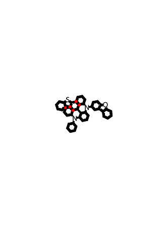 c1ccc(N(c2ccccc2)c2cccc(N(c3ccccc3)c3ccc4oc5ccccc5c4c3)c2-c2ccc3sc4ccccc4c3c2)cc1